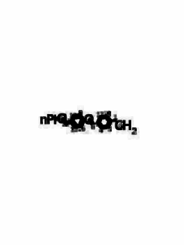 C=C[C@H]1CC[C@H](COc2ccc(COCCC)cc2)CC1